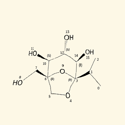 CC(C)[C@@]12OC[C@@](CO)(O1)[C@@H](O)[C@H](O)[C@H]2O